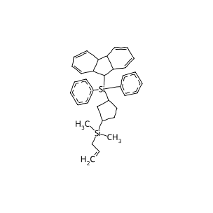 C=CC[Si](C)(C)C1CCC([Si](c2ccccc2)(c2ccccc2)C2C3C=CC=CC3C3C=CC=CC32)C1